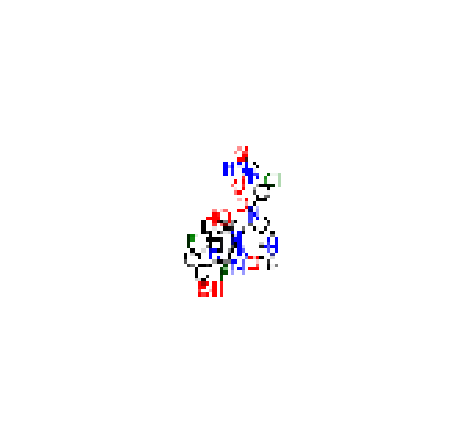 C#Cc1c(F)ccc2cc(O)cc(-c3ncc4c(N5CCC[C@@](C)(O)C5)nc(OCC5(CN6CCC7(CC6)CCN(C(=O)c6ccc(Cl)c(N8CCC(=O)NC8=O)c6)CC7)CC5)nc4c3F)c12